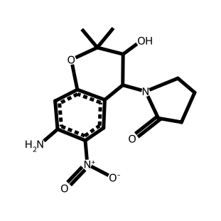 CC1(C)Oc2cc(N)c([N+](=O)[O-])cc2C(N2CCCC2=O)C1O